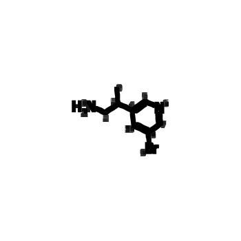 CC(CN)c1cncc(Br)c1